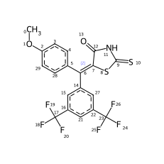 COc1ccc(/C(=C2/SC(=S)NC2=O)c2cc(C(F)(F)F)cc(C(F)(F)F)c2)cc1